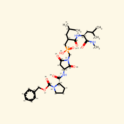 CNC(=O)[C@H](CC(C)C)NC(=O)C(CC(C)C)CP(=O)(O)CN1C(=O)C[C@H](NC(=O)[C@@H]2CCCN2C(=O)OCc2ccccc2)C1=O